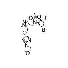 Cc1nn(C)c(COc2cnc(N3CCOCC3)nc2)c1CN1C(=O)[C@@H](C)Oc2c(F)cc(Br)cc21